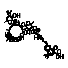 CO[C@]1(C)C[C@H](O[C@H]2[C@H](C)[C@@H](O[C@@H]3O[C@H](C)C[C@H](N(C)C)[C@H]3O)[C@](C)(O)C[C@@H](C)[C@@H]3O[C@H](C)O[C@H]([C@H]3C)[C@@]3(O)CC[C@H]3OC(=O)[C@@H]2C)O[C@@H](C)[C@@H]1OS(=O)(=O)CCNCCCc1ccc2c(c1)c(=O)c(C(=O)O)cn2N(C)C